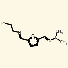 CC(C)CC/N=C/c1ccc(/C=N/N(C)C)o1